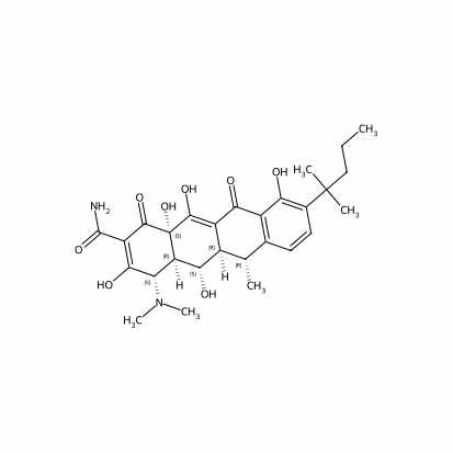 CCCC(C)(C)c1ccc2c(c1O)C(=O)C1=C(O)[C@]3(O)C(=O)C(C(N)=O)=C(O)[C@@H](N(C)C)[C@@H]3[C@@H](O)[C@@H]1[C@H]2C